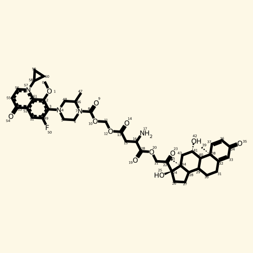 COc1c(N2CCN(C(=O)OCOC(=O)CC(N)C(=O)OCC(=O)[C@@]3(O)CCC4C5CCC6=CC(=O)C=C[C@]6(C)C5[C@@H](O)C[C@@]43C)C(C)C2)c(F)cc2c(=O)ccn(C3CC3)c12